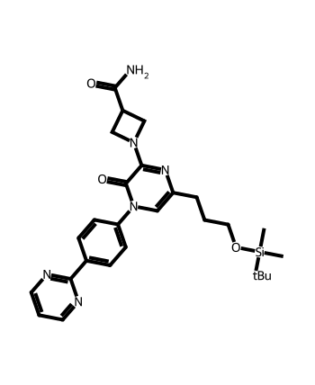 CC(C)(C)[Si](C)(C)OCCCc1cn(-c2ccc(-c3ncccn3)cc2)c(=O)c(N2CC(C(N)=O)C2)n1